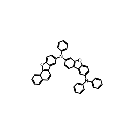 c1ccc(N(c2ccccc2)c2ccc3oc4cc(N(c5ccccc5)c5ccc6sc7c8ccccc8ccc7c6c5)ccc4c3c2)cc1